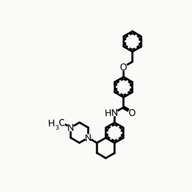 CN1CCN(C2CCCc3ccc(NC(=O)c4ccc(OCc5ccccc5)cc4)cc32)CC1